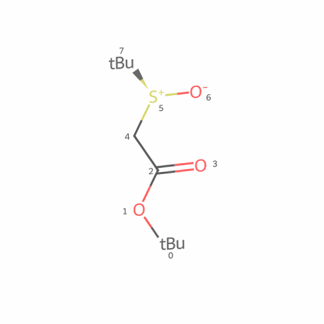 CC(C)(C)OC(=O)C[S@+]([O-])C(C)(C)C